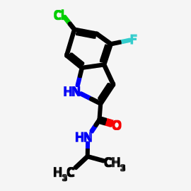 CC(C)NC(=O)c1cc2c(F)cc(Cl)cc2[nH]1